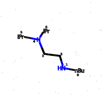 CCCCNCCN(C(C)C)C(C)C